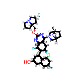 C[C@]12CC[C@H](CN(c3nc(OC[C@@]45CCCN4C[C@H](F)C5)nc4c(F)c(-c5cc(O)cc6cc(F)cc(Cl)c56)c(F)cc34)C1)N2